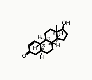 C[C@]12CC[C@@H]3[C@H]4C=CC(=O)C[C@@H]4CC[C@H]3[C@@H]1CCC2O